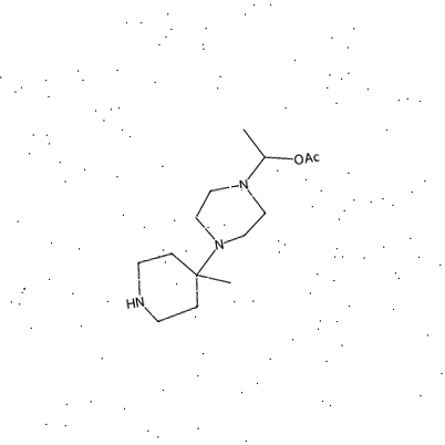 CC(=O)OC(C)N1CCN(C2(C)CCNCC2)CC1